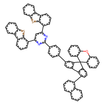 c1ccc2c(c1)Oc1ccccc1C21c2cc(-c3ccc(-c4nc(-c5cccc6c5sc5ccccc56)cc(-c5cccc6c5sc5ccccc56)n4)cc3)ccc2-c2c(-c3cccc4ccccc34)cccc21